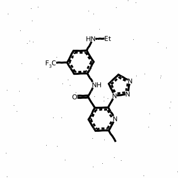 CCNc1cc(NC(=O)c2ccc(C)nc2-n2ccnn2)cc(C(F)(F)F)c1